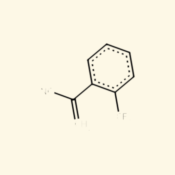 C=C(C#N)c1ccccc1C(F)(F)F